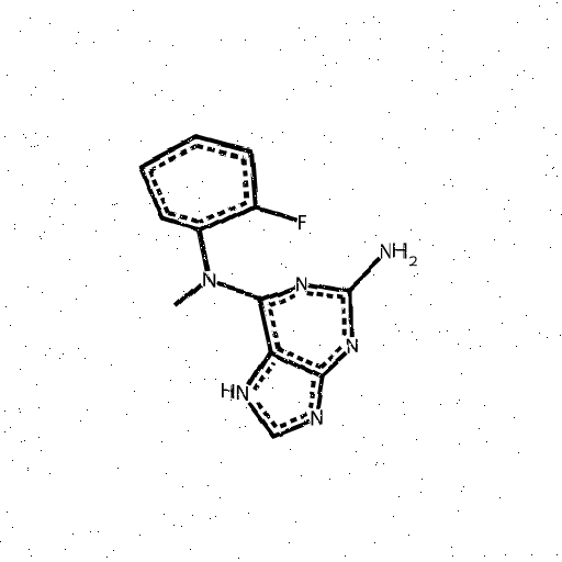 CN(c1ccccc1F)c1nc(N)nc2nc[nH]c12